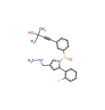 CNCc1cc(-c2ccccc2F)n([S+]([O-])c2cccc(C#CC(C)(C)O)c2)c1